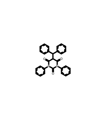 O=C1C(C(c2ccccc2)c2ccccc2)C(=O)N(c2ccccc2)C(=O)N1c1ccccc1